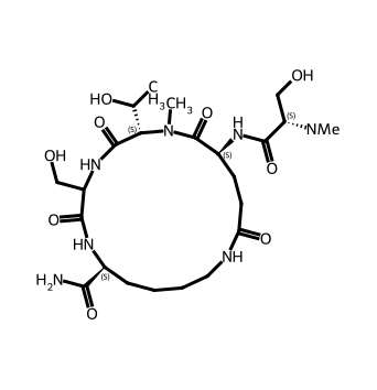 CN[C@@H](CO)C(=O)N[C@H]1CCC(=O)NCCCC[C@@H](C(N)=O)NC(=O)C(CO)NC(=O)[C@H](C(C)O)N(C)C1=O